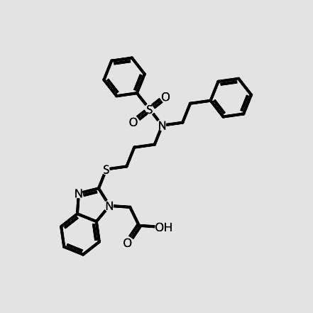 O=C(O)Cn1c(SCCCN(CCc2ccccc2)S(=O)(=O)c2ccccc2)nc2ccccc21